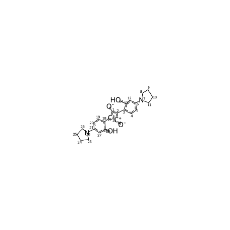 [O-]c1c(-c2ccc(N3CCCC3)cc2O)[c+]([O-])[c+]1-c1ccc(N2CCCC2)cc1O